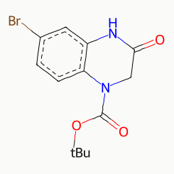 CC(C)(C)OC(=O)N1CC(=O)Nc2cc(Br)ccc21